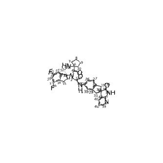 O=C(CN1C(=O)C2(CCCC2)NC[C@@]12CCc1c(F)cc(F)cc12)Nc1ccc2c(c1)C[C@@]1(C2)C(=O)Nc2ncccc21